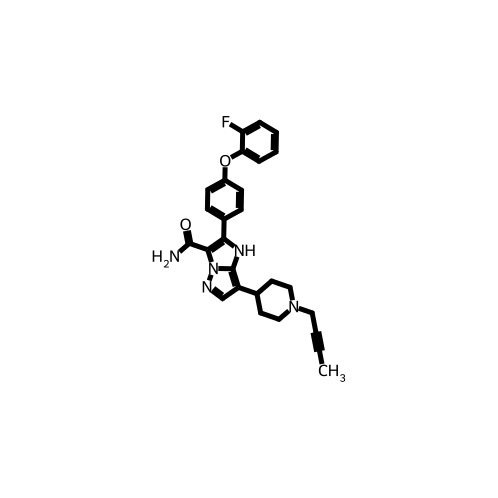 CC#CCN1CCC(c2cnn3c(C(N)=O)c(-c4ccc(Oc5ccccc5F)cc4)[nH]c23)CC1